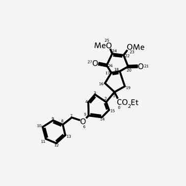 CCOC(=O)C1(c2ccc(OCc3ccccc3)cc2)CC2=C(C1)C(=O)C(OC)=C(OC)C2=O